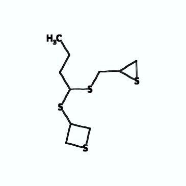 CCCC(SCC1CS1)SC1CSC1